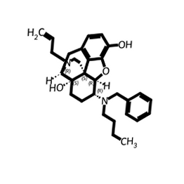 C=CCN1CC[C@]23c4c5ccc(O)c4O[C@H]2[C@H](N(CCCC)Cc2ccccc2)CC[C@@]3(O)[C@H]1C5